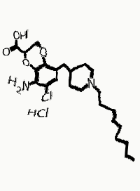 CCCCCCCCCN1CCC(Cc2cc(Cl)c(N)c3c2OCC(C(=O)O)O3)CC1.Cl